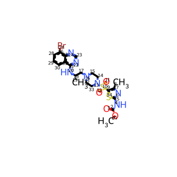 COC(=O)Nc1nc(C)c(S(=O)(=O)N2CCN(C[C@H](C)Nc3ncnc4c(Br)cccc34)CC2)s1